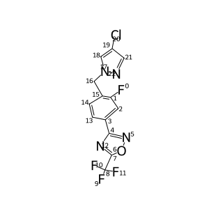 Fc1cc(-c2noc(C(F)(F)F)n2)ccc1Cn1cc(Cl)cn1